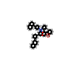 c1cc(-c2cccc(N(c3ccc(-c4cccc5ccccc45)cc3)c3ccccc3-c3cccc4oc5ccccc5c34)c2)cc(-c2ccc3ccccc3c2)c1